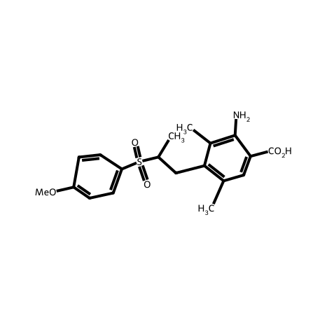 COc1ccc(S(=O)(=O)C(C)Cc2c(C)cc(C(=O)O)c(N)c2C)cc1